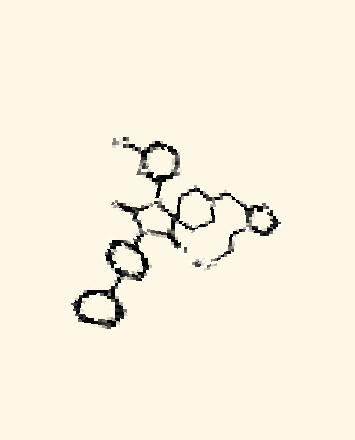 O=C(O)CCn1ccnc1CN1CCC2(CC1)C(=O)N(c1ccc(-c3ccccc3)cc1)C(=O)N2c1nccc(O)n1